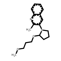 COCCCOC1CCCN1c1cc2ccccc2nc1C